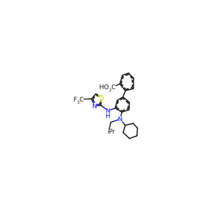 CC(C)CN(c1ccc(-c2ccccc2C(=O)O)cc1Nc1nc(C(F)(F)F)cs1)C1CCCCC1